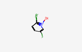 O[n+]1cc(F)ccc1Br